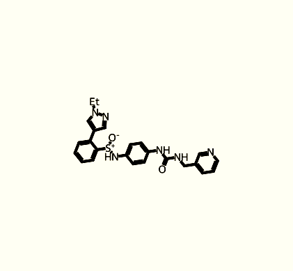 CCn1cc(-c2ccccc2[S+]([O-])Nc2ccc(NC(=O)NCc3cccnc3)cc2)cn1